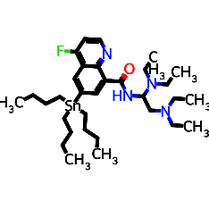 CCC[CH2][Sn]([CH2]CCC)([CH2]CCC)[c]1cc(C(=O)NC(CN(CC)CC)N(CC)CC)c2nccc(F)c2c1